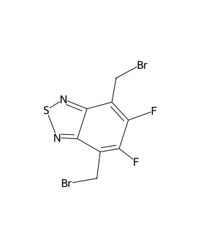 Fc1c(F)c(CBr)c2nsnc2c1CBr